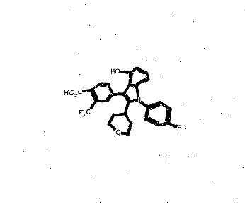 O=C(O)c1ccc(-c2c(C3CCOCC3)n(-c3ccc(F)cc3)c3cccc(O)c23)cc1C(F)(F)F